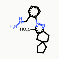 NNCc1ccccc1-n1nc2c(c1C(=O)O)CC1(CCCC1)CC2